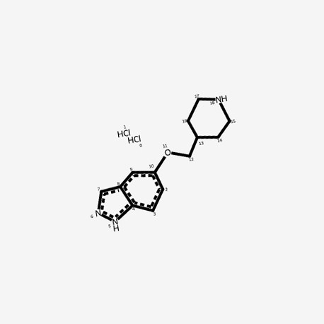 Cl.Cl.c1cc2[nH]ncc2cc1OCC1CCNCC1